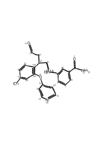 NC(=O)c1cccc(NCC(CC=O)c2ccc(Cl)cc2Oc2ccncc2)c1